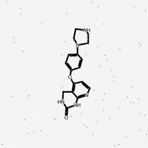 O=C1NCc2c(Oc3ccc(N4CCNCC4)cc3)ccnc2N1